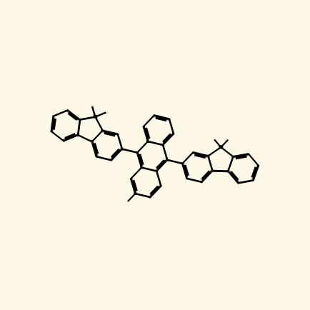 Bc1ccc2c(-c3ccc4c(c3)C(C)(C)c3ccccc3-4)c3ccccc3c(-c3ccc4c(c3)C(C)(C)c3ccccc3-4)c2c1